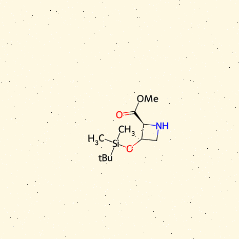 COC(=O)[C@H]1NCC1O[Si](C)(C)C(C)(C)C